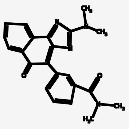 CN(C)C(=O)c1cccc(C2=C3N=C(N(C)C)N=C3c3ccccc3C2=O)c1